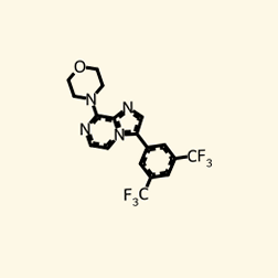 FC(F)(F)c1cc(-c2cnc3c(N4CCOCC4)nccn23)cc(C(F)(F)F)c1